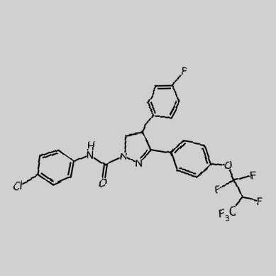 O=C(Nc1ccc(Cl)cc1)N1CC(c2ccc(F)cc2)C(c2ccc(OC(F)(F)C(F)C(F)(F)F)cc2)=N1